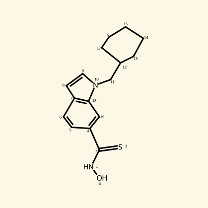 ONC(=S)c1ccc2ccn(CC3CCCCC3)c2c1